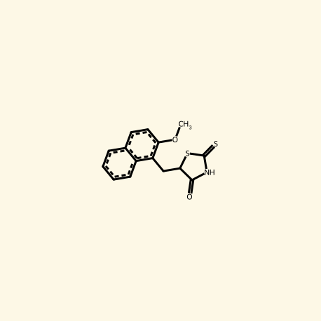 COc1ccc2ccccc2c1CC1SC(=S)NC1=O